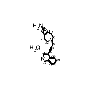 Nc1nc2c(s1)CCN(CC#Cc1cncc3ccccc13)CC2.O